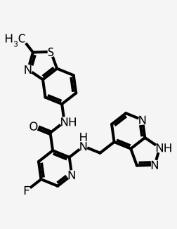 Cc1nc2cc(NC(=O)c3cc(F)cnc3NCc3ccnc4[nH]ncc34)ccc2s1